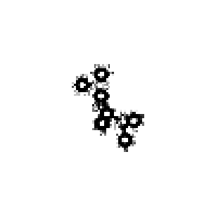 c1ccc(-c2nc(-c3cc4c5ccc(N(c6ccccc6)c6ccccc6)cc5oc4c4ccccc34)nc3ccccc23)cc1